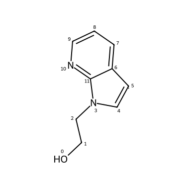 OCCn1c[c]c2cccnc21